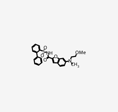 COCCN(C)c1ccc2cc(C(=O)NS(=O)(=O)c3ccccc3-c3ccccc3)oc2c1